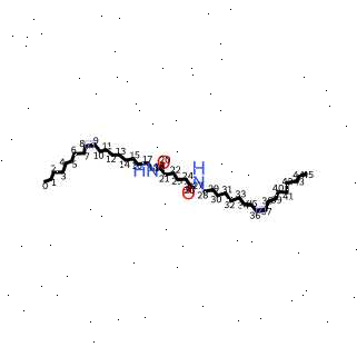 CCCCCCCC/C=C\CCCCCCCCNC(=O)CCCCC(=O)NCCCCCCCC/C=C\CCCCCCCC